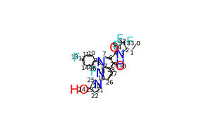 CC[C@H](NC(=O)c1cn(-c2ccc(F)cc2F)c2nc(N3CCC(O)C3)ccc2c1=O)C(F)(F)F